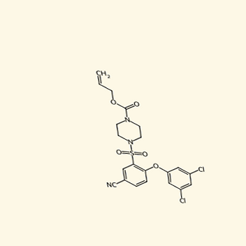 C=CCOC(=O)N1CCN(S(=O)(=O)c2cc(C#N)ccc2Oc2cc(Cl)cc(Cl)c2)CC1